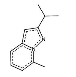 Cc1cccc2cc(C(C)C)nn12